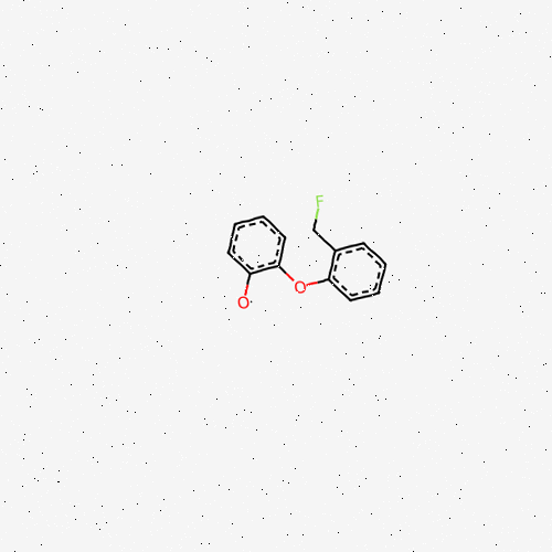 [O]c1ccccc1Oc1ccccc1CF